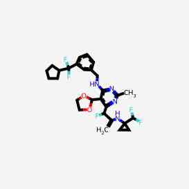 C=C(NC1(C(F)F)CC1)C(F)c1nc(C)nc(NCc2cccc(C(F)(F)C3CCCC3)c2)c1C1OCCO1